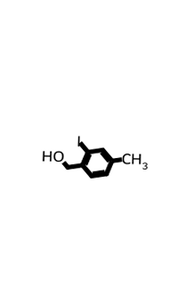 Cc1ccc(CO)c(I)c1